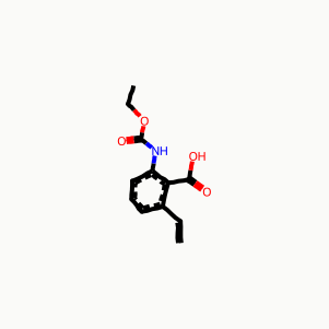 C=Cc1cccc(NC(=O)OCC)c1C(=O)O